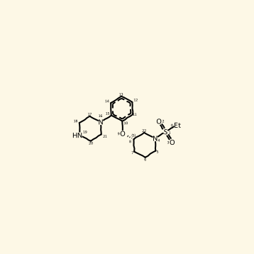 CCS(=O)(=O)N1CCC[C@H](Oc2ccccc2N2CCNCC2)C1